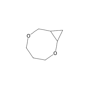 C1COCC2CC2OC1